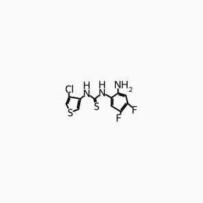 Nc1cc(F)c(F)cc1NC(=S)Nc1cscc1Cl